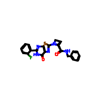 O=C(NCc1ccccc1)C1CCN1c1nc2c(=O)[nH]c(-c3ccccc3F)nc2s1